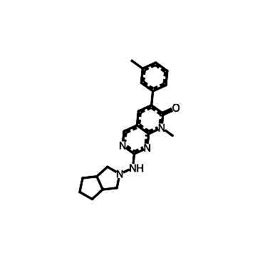 Cc1cccc(-c2cc3cnc(NN4CC5CCCC5C4)nc3n(C)c2=O)c1